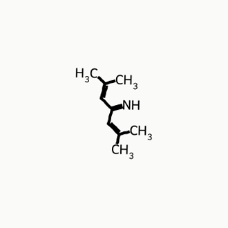 CC(C)=CC(=N)C=C(C)C